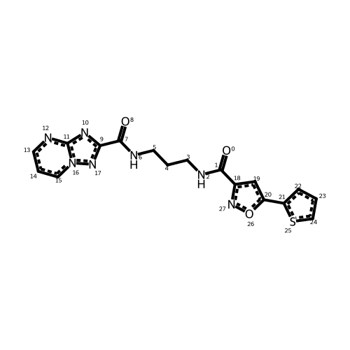 O=C(NCCCNC(=O)c1nc2ncccn2n1)c1cc(-c2cccs2)on1